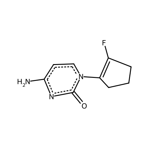 Nc1ccn(C2=C(F)CCC2)c(=O)n1